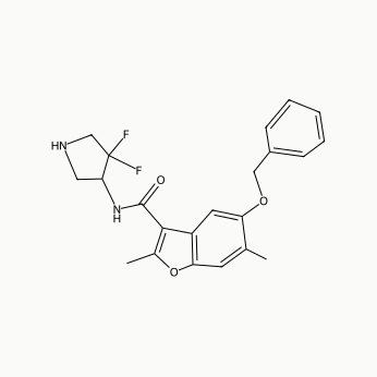 Cc1cc2oc(C)c(C(=O)NC3CNCC3(F)F)c2cc1OCc1ccccc1